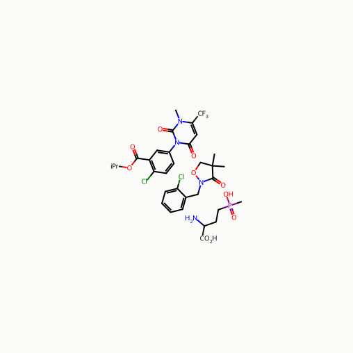 CC(C)OC(=O)c1cc(-n2c(=O)cc(C(F)(F)F)n(C)c2=O)ccc1Cl.CC1(C)CON(Cc2ccccc2Cl)C1=O.CP(=O)(O)CCC(N)C(=O)O